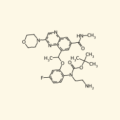 CNC(=O)c1cc(C(C)Oc2cc(F)ccc2N(CCN)C(=O)OC(C)(C)C)c2nc(N3CCOCC3)cnc2c1